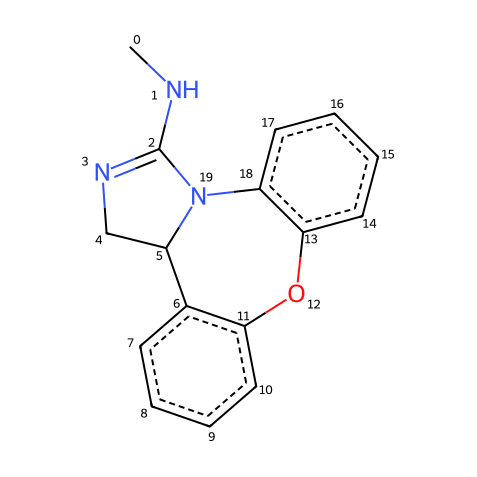 CNC1=NCC2c3ccccc3Oc3ccccc3N12